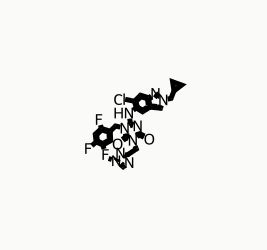 Cn1cnc(Cn2c(=O)nc(Nc3cc4cn(CC5CC5)nc4cc3Cl)n(Cc3cc(F)c(F)cc3F)c2=O)n1